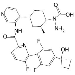 C[C@H]1C[C@H](c2ccncc2NC(=O)c2ccc(F)c(-c3c(F)cc(C4(O)CCC4)cc3F)n2)CCC1N(N)C(=O)O